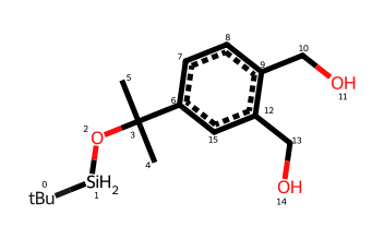 CC(C)(C)[SiH2]OC(C)(C)c1ccc(CO)c(CO)c1